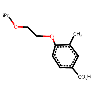 Cc1cc(C(=O)O)ccc1OCCOC(C)C